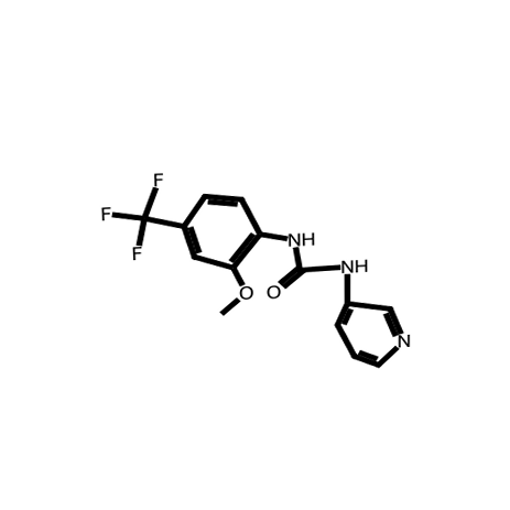 COc1cc(C(F)(F)F)ccc1NC(=O)Nc1cccnc1